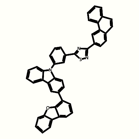 c1cc(-c2nc(-c3ccc4ccc5ccccc5c4c3)ns2)cc(-n2c3ccccc3c3cc(-c4cccc5c4oc4ccccc45)ccc32)c1